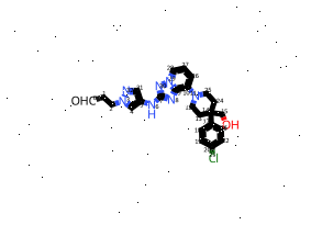 O=CCCn1cc(Nc2nc3c(N4CCC(CO)(c5ccc(Cl)cc5)CC4)cccn3n2)cn1